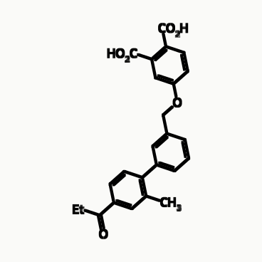 CCC(=O)c1ccc(-c2cccc(COc3ccc(C(=O)O)c(C(=O)O)c3)c2)c(C)c1